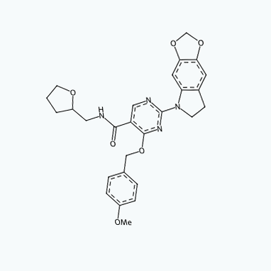 COc1ccc(COc2nc(N3CCc4cc5c(cc43)OCO5)ncc2C(=O)NCC2CCCO2)cc1